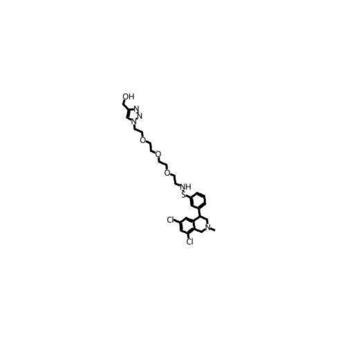 CN1Cc2c(Cl)cc(Cl)cc2C(c2cccc(SNCCOCCOCCOCCn3cc(CO)nn3)c2)C1